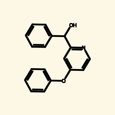 OC(c1ccccc1)c1cc(Oc2ccccc2)ccn1